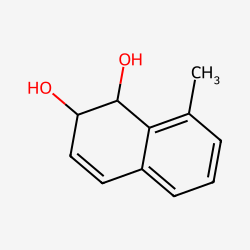 Cc1cccc2c1C(O)C(O)C=C2